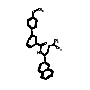 COc1ccc(-c2cccc(C(=O)NC(CCN(C)C)c3ccc4ccccc4c3)c2)cc1